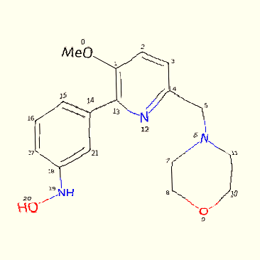 COc1ccc(CN2CCOCC2)nc1-c1cccc(NO)c1